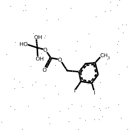 Cc1cc(I)c(I)c(COC(=O)OC(O)(O)O)c1